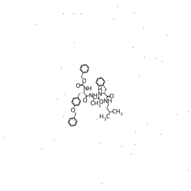 CC(C)CCNC(=O)[C@H](Cc1ccccc1)NC(=O)[C@@H](C)NC(=O)[C@H](Cc1ccc(OCc2ccccc2)cc1)NC(=O)OCc1ccccc1